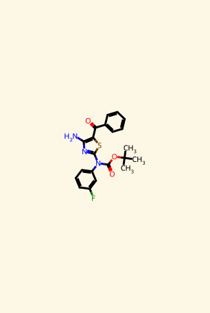 CC(C)(C)OC(=O)N(c1cccc(F)c1)c1nc(N)c(C(=O)c2ccccc2)s1